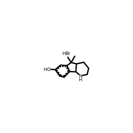 Br.CC1(C)c2cc(O)ccc2C2NCCCC21